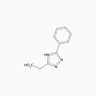 O=C(O)Cc1nnc(-c2ccccc2)[nH]1